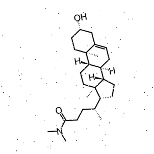 C[C@H](CCC(=O)N(C)C)[C@H]1CC[C@H]2[C@@H]3CC=C4C[C@@H](O)CC[C@]4(C)[C@H]3CC[C@]12C